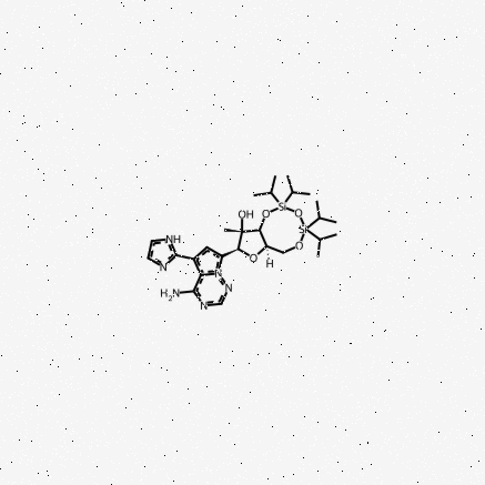 CC(C)[Si]1(C(C)C)OC[C@H]2O[C@@H](c3cc(-c4ncc[nH]4)c4c(N)ncnn34)[C@](C)(O)C2O[Si](C(C)C)(C(C)C)O1